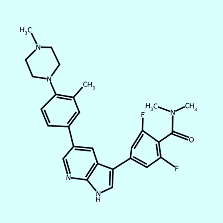 Cc1cc(-c2cnc3[nH]cc(-c4cc(F)c(C(=O)N(C)C)c(F)c4)c3c2)ccc1N1CCN(C)CC1